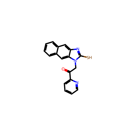 O=C(Cn1c(S)nc2cc3ccccc3cc21)c1ccccn1